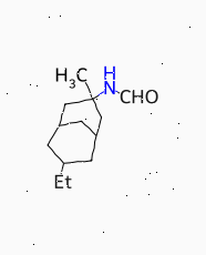 CCC1CC2CC(C1)CC(C)(NC=O)C2